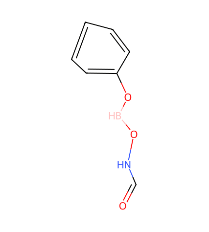 O=CNOBOc1ccccc1